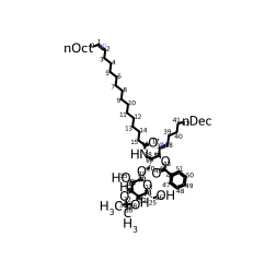 CCCCCCCC/C=C\CCCCCCCCCCCCCC(=O)N[C@@H](CO[C@@H]1O[C@H](CO)[C@@H]2OC(C)(C)O[C@@H]2[C@H]1O)[C@@H](/C=C/CCCCCCCCCCCCC)OC(=O)c1ccccc1